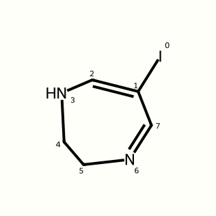 IC1=CNCCN=C1